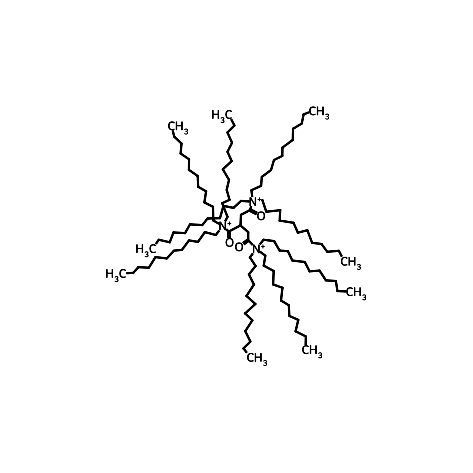 CCCCCCCCCCCC[N+](CCCCCCCCCCCC)(CCCCCCCCCCCC)C(=O)CC(CC(=O)[N+](CCCCCCCCCCCC)(CCCCCCCCCCCC)CCCCCCCCCCCC)C(=O)[N+](CCCCCCCCCCCC)(CCCCCCCCCCCC)CCCCCCCCCCCC